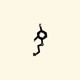 Fc1ccc(OCCBr)c(I)c1